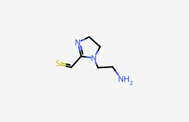 NCCN1CCN=C1C=S